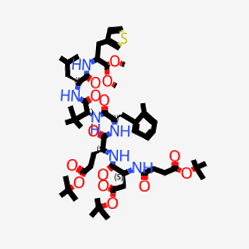 COC(OC)C(Cc1ccsc1)NC(=O)[C@H](CC(C)C)NC(=O)[C@@H](NC(=O)[C@H](Cc1ccccc1C)NC(=O)[C@H](CCC(=O)OC(C)(C)C)NC(=O)[C@H](CC(=O)OC(C)(C)C)NC(=O)CCC(=O)OC(C)(C)C)C(C)(C)C